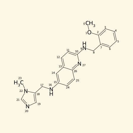 COc1ccccc1CNc1ccc2cc(NCc3cncn3C)ccc2n1